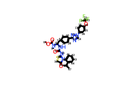 COC(=O)N(C)C(Cc1ccc(-c2ncn(-c3ccc(OC(F)(F)F)cc3)n2)cc1)NC(=O)/N=C1\SCC(=O)N1c1ccccc1C(C)C